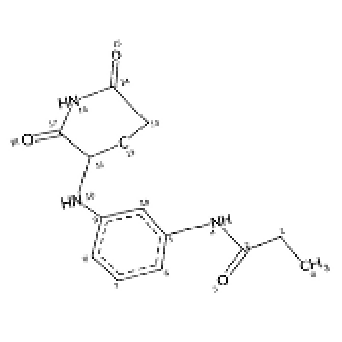 CCC(=O)Nc1cccc(NC2CCC(=O)NC2=O)c1